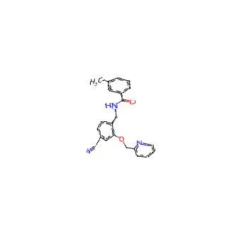 Cc1cccc(C(=O)NCc2ccc(C#N)cc2OCc2ccccn2)c1